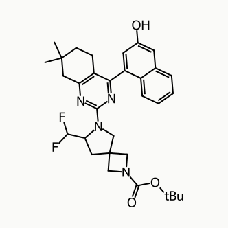 CC1(C)CCc2c(nc(N3CC4(CC3C(F)F)CN(C(=O)OC(C)(C)C)C4)nc2-c2cc(O)cc3ccccc23)C1